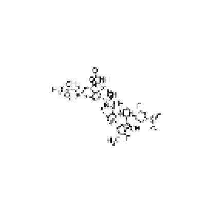 Cc1cc(-n2nc3c(c2N2C=CN(c4ccc([S+]([O-])C5CC5)cc4F)C2=C=O)[C@H](C)N(C(=O)c2cc4cc([C@H]5CCOC(C)(C)C5)ccc4n2[C@@]2(c4noc(=O)[nH]4)C[C@@H]2C)CC3)cc(C)c1F